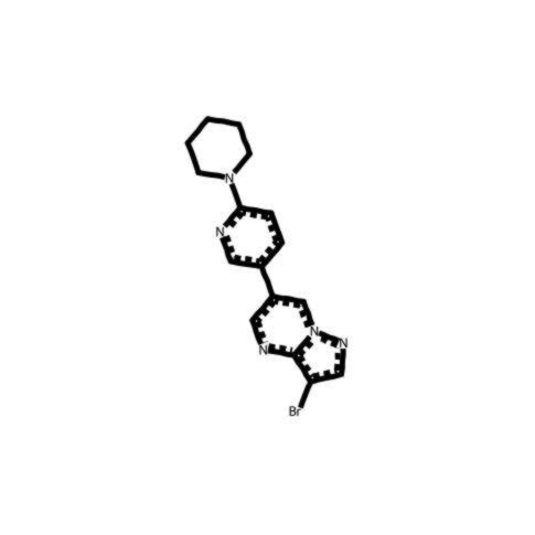 Brc1cnn2cc(-c3ccc(N4CCCCC4)nc3)cnc12